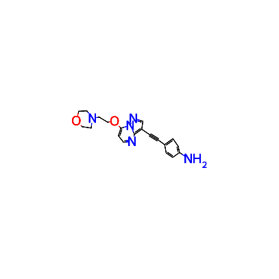 Nc1ccc(C#Cc2cnn3c(OCCN4CCOCC4)ccnc23)cc1